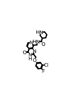 O=C(NCc1nccc2c(=O)[nH]c(COc3ccc(F)c(Cl)c3)nc12)C1CCCNC1